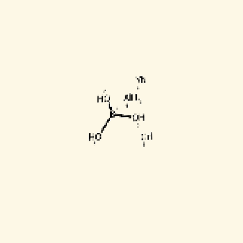 OB(O)O.[AlH3].[Gd].[Yb]